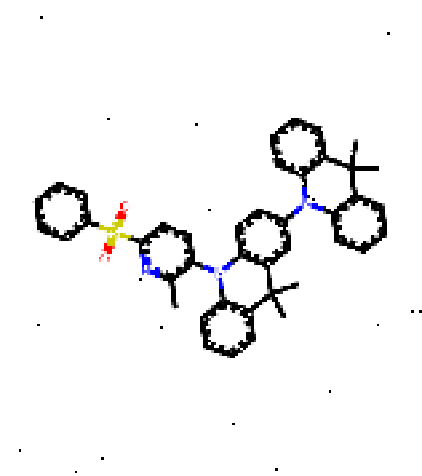 Cc1nc(S(=O)(=O)c2ccccc2)ccc1N1c2ccccc2C(C)(C)c2cc(N3c4ccccc4C(C)(C)c4ccccc43)ccc21